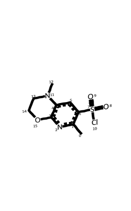 Cc1nc2c(cc1S(=O)(=O)Cl)N(C)CCO2